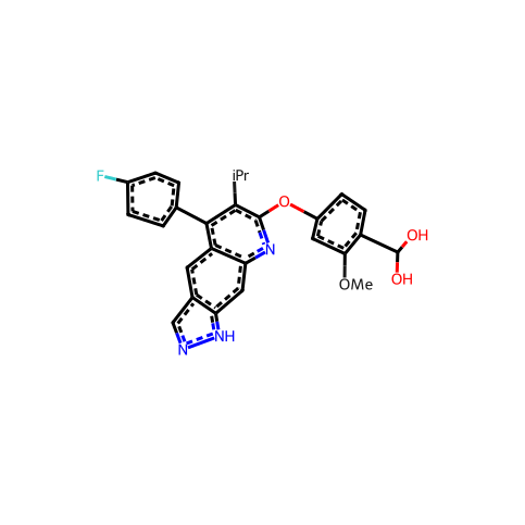 COc1cc(Oc2nc3cc4[nH]ncc4cc3c(-c3ccc(F)cc3)c2C(C)C)ccc1C(O)O